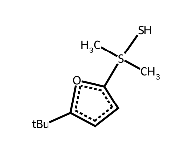 CC(C)(C)c1ccc(S(C)(C)S)o1